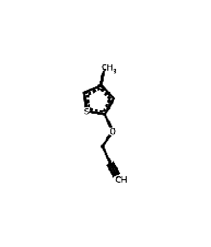 C#CCOc1cc(C)cs1